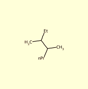 [CH2]C(CC)C(C)CCC